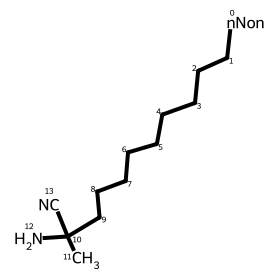 CCCCCCCCCCCCCCCCCCC(C)(N)C#N